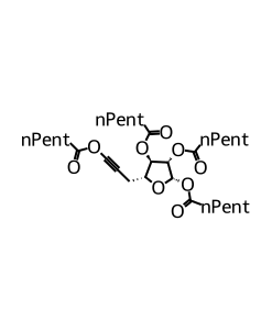 CCCCCC(=O)OC#CC[C@H]1O[C@@H](OC(=O)CCCCC)[C@@H](OC(=O)CCCCC)[C@@H]1OC(=O)CCCCC